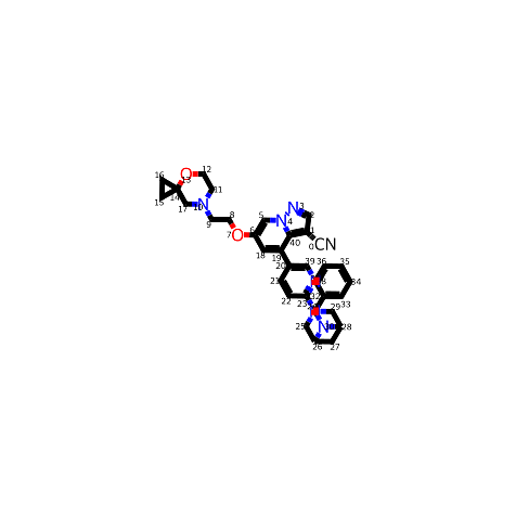 N#Cc1cnn2cc(OCCN3CCOC4(CC4)C3)cc(-c3ccc(N4CC5CC(C4)N5Cc4ccccc4)nc3)c12